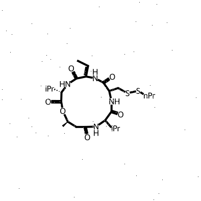 C/C=C1/NC(=O)C(CSSCCC)NC(=O)C(C(C)C)NC(=O)C[C@@H](C)OC(=O)[C@H](C(C)C)NC1=O